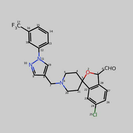 O=CC1OC2(CCN(Cc3cnn(-c4cccc(C(F)(F)F)c4)c3)CC2)c2cc(Cl)ccc21